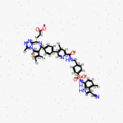 COC(=O)CC[C@@H]1N=C(c2ccc(-c3cnc(C(=O)NCc4ccc(S(=O)(=O)Nc5ccc(C)c6c(C#N)c[nH]c56)cc4)cc3C)cc2)c2c(sc(C)c2C)-n2c(C)nnc21